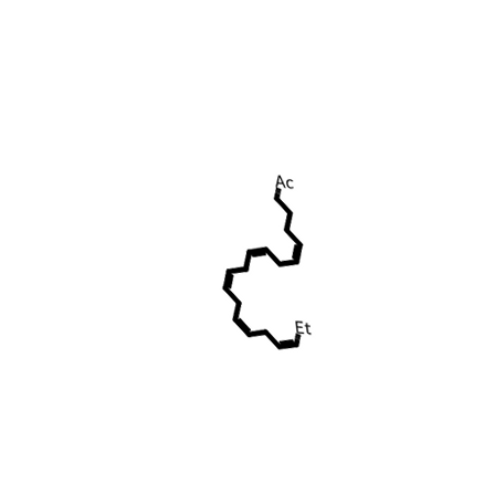 CC/C=C\C/C=C\C/C=C\C/C=C\C/C=C\CCCC(C)=O